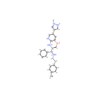 Cn1cc(-c2cnc3c(c2)OC[C@@H]([C@@H](NCCc2ccc(C#N)cc2)c2ccccc2)N3)cn1